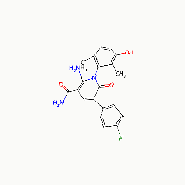 Cc1ccc(O)c(C)c1-n1c(N)c(C(N)=O)cc(-c2ccc(F)cc2)c1=O